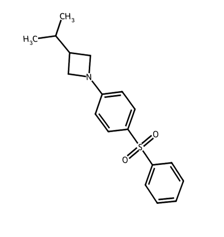 CC(C)C1CN(c2ccc(S(=O)(=O)c3ccccc3)cc2)C1